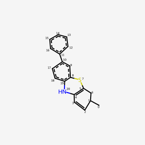 CC1C=CC2=C(C1)Sc1cc(-c3ccccc3)ccc1N2